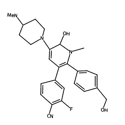 CNC1CCN(C2=CC(c3ccc(C#N)c(F)c3)=C(c3ccc(CO)cc3)N(C)C2O)CC1